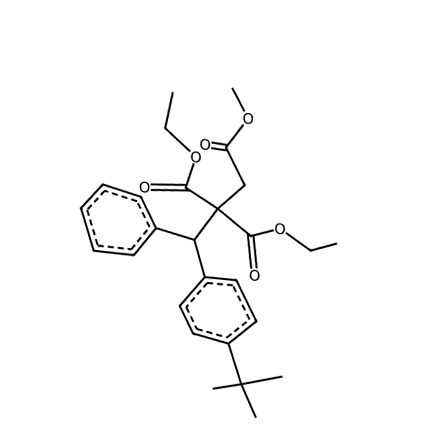 CCOC(=O)C(CC(=O)OC)(C(=O)OCC)C(c1ccccc1)c1ccc(C(C)(C)C)cc1